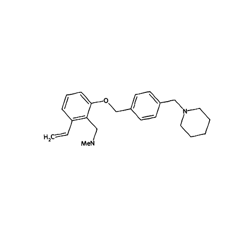 C=Cc1cccc(OCc2ccc(CN3CCCCC3)cc2)c1CNC